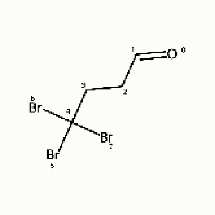 O=CCCC(Br)(Br)Br